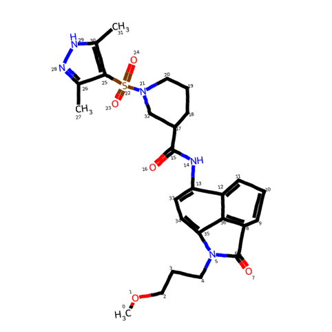 COCCCN1C(=O)c2cccc3c(NC(=O)C4CCCN(S(=O)(=O)c5c(C)n[nH]c5C)C4)ccc1c23